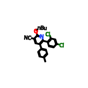 CCCCOc1nc(-c2ccc(Cl)cc2Cl)c(-c2ccc(C)cc2)cc1C#N